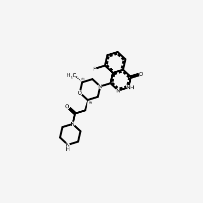 C[C@@H]1CN(c2n[nH]c(=O)c3cccc(F)c23)C[C@@H](CC(=O)N2CCNCC2)O1